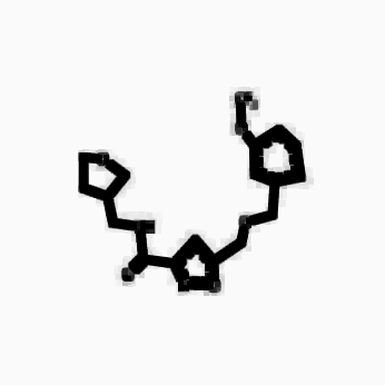 O=C(NCC1CCOC1)c1cc(COCc2cccc(OC(F)(F)F)c2)on1